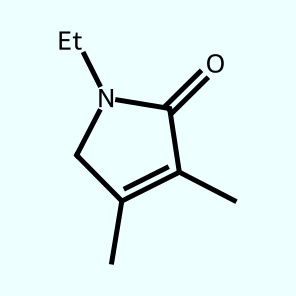 CCN1CC(C)=C(C)C1=O